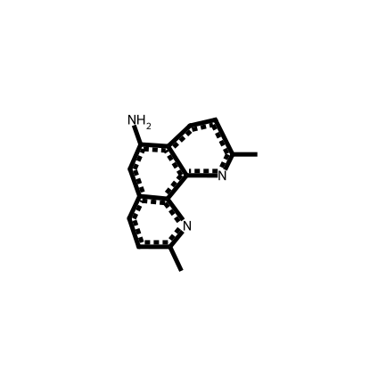 Cc1ccc2cc(N)c3ccc(C)nc3c2n1